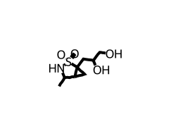 CC1NS(=O)(=O)C2(CC(O)CO)CC12